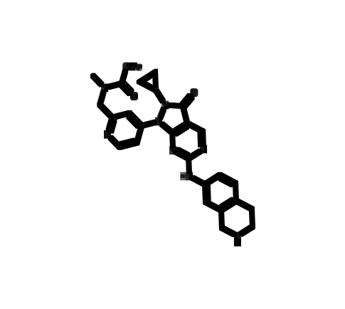 COC(=O)N(C)Cc1cc(-n2c3nc(Nc4ccc5c(c4)CNCC5)ncc3c(=O)n2C2CC2)ccn1